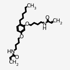 C=CC(=O)NCCCCOc1ccc(CCCCCC)c(OCCCCNC(=O)C=C)c1